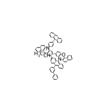 CC1(C)c2ccc(-c3ccc4c(c3)N(c3c5ccccc5c(-c5cccc(-c6ccccc6)c5)c5ccccc35)c3ccc5ccccc5c3O4)cc2N(c2ccc(-c3c4ccccc4cc4ccccc34)cc2)c2ccc3ccccc3c21